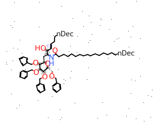 CCCCCCCCCCCC/C=C/[C@@H](O)[C@H](C[C@H]1O[C@H](COCc2ccccc2)[C@H](OCc2ccccc2)[C@H](OCc2ccccc2)[C@H]1OCc1ccccc1)NC(=O)CCCCCCCCCCCCCCCCCCCCCCCCC